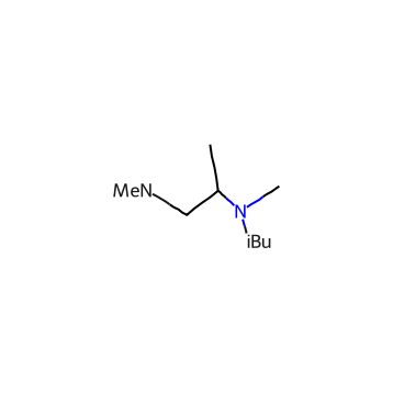 CCC(C)N(C)C(C)CNC